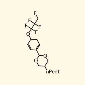 CCCCCC1COC(C2=CCC(OC(F)(F)C(F)(F)CF)C=C2)OC1